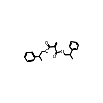 C=C(C(=O)OCC(C)c1ccccc1)C(=O)OCC(C)c1ccccc1